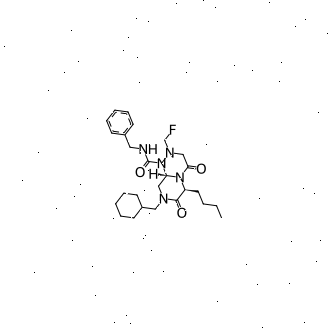 CCCC[C@H]1C(=O)N(CC2CCCCC2)C[C@H]2N1C(=O)CN(CF)N2C(=O)NCc1ccccc1